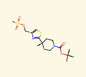 CC(C)(C)OC(=O)N1CCC(C)(c2nc(COS(C)(=O)=O)cs2)CC1